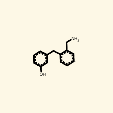 NCc1c[c]ccc1Cc1cccc(O)c1